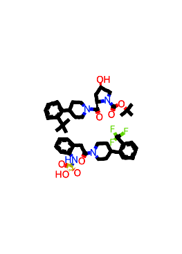 CC(C)(C)OC(=O)N1C[C@H](O)C[C@@H]1C(=O)N1CCC(c2ccccc2C(C)(C)C)CC1.O=C(Cc1ccccc1NS(=O)(=O)O)N1CCC(c2ccccc2C(F)(F)F)CC1